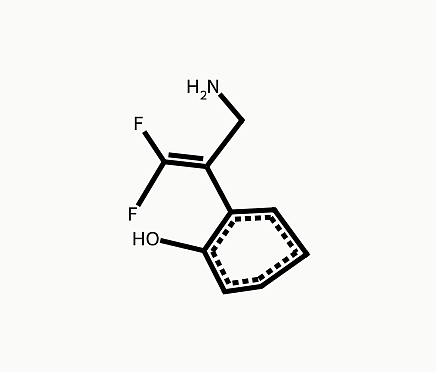 NCC(=C(F)F)c1ccccc1O